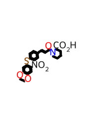 O=C(O)C1CCCCN1C(=O)C=Cc1ccc(Sc2ccc3c(c2)OCCO3)c([N+](=O)[O-])c1